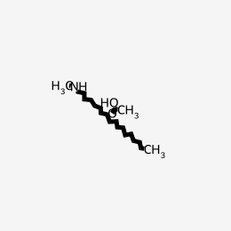 CC(=O)O.CCCCCCCCCCCCCCCCCCNC